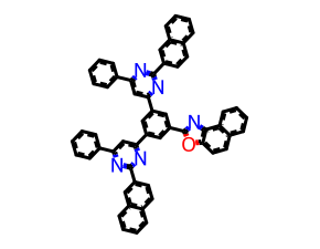 c1ccc(-c2cc(-c3cc(-c4cc(-c5ccccc5)nc(-c5ccc6ccccc6c5)n4)cc(-c4nc5c(ccc6ccccc65)o4)c3)nc(-c3ccc4ccccc4c3)n2)cc1